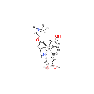 CCN(Cc1ccc(OCCN(C)C2CCC2)cc1)C1C=C(OC)C(OC)=CC1[C@@H]1CCc2cc(O)ccc2C1